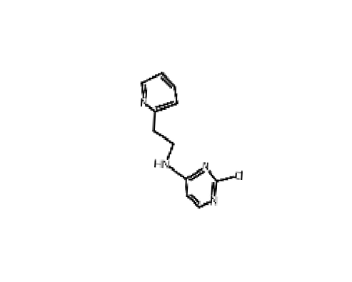 Clc1nccc(NCCc2ccccn2)n1